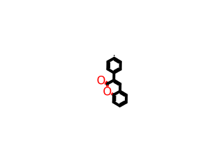 O=c1oc2ccccc2cc1-c1cc[c]cc1